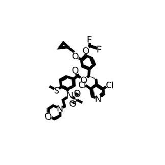 CSc1ccc(C(=O)O[C@@H](Cc2c(Cl)cncc2Cl)c2ccc(OC(F)F)c(OCC3CC3)c2)cc1N(CCN1CCOCC1)S(C)(=O)=O